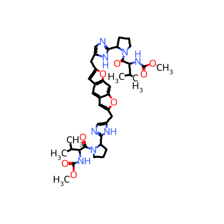 COC(=O)NC(C(=O)N1CCCC1c1ncc(Cc2cc3cc4cc(Cc5cnc(C6CCCN6C(=O)C(NC(=O)OC)C(C)C)[nH]5)oc4cc3o2)[nH]1)C(C)C